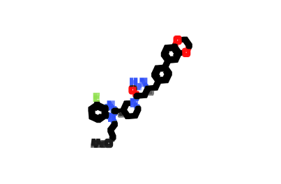 COCCCn1c([C@@H]2CCCN(C(=O)C[C@H](N)Cc3ccc(-c4ccc5c(c4)OCCO5)cc3)C2)nc2c(F)cccc21